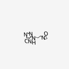 N#Cc1cncnc1NCCCN1CCC1=O